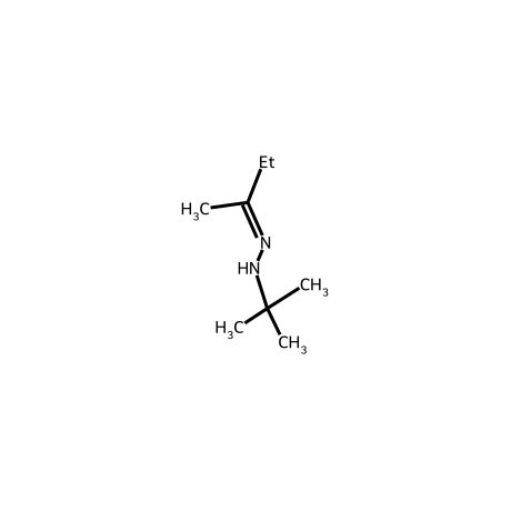 CCC(C)=NNC(C)(C)C